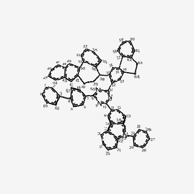 c1ccc(-c2ccc(-c3nc(-c4ccc5c(c4)c4ccccc4n5-c4ccccc4)nc(-c4cc5c(cc4C4CCc6cc7ccccc7cc6-c6ccccc64)-c4ccccc4CC5)n3)cc2)cc1